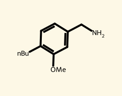 CCCCc1ccc(CN)cc1OC